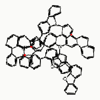 c1cc(-c2cccc3c2oc2ccccc23)cc(N(c2ccc3ccc4ccccc4c3c2)c2ccccc2-c2ccccc2-n2c3ccccc3c3ccc(-c4ccc5c6ccccc6n(-c6ccccc6-c6ccccc6N(c6cccc(-c7cccc8c7oc7ccccc78)c6)c6cccc7ccccc67)c5c4)cc32)c1